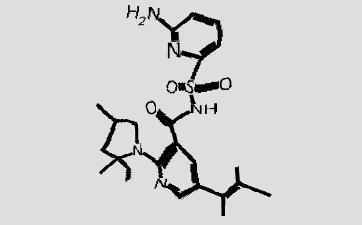 CC(C)=C(C)c1cnc(N2CC(C)CC2(C)C)c(C(=O)NS(=O)(=O)c2cccc(N)n2)c1